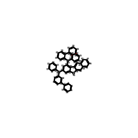 c1ccc(-c2cccc(N(c3ccccc3)c3cc(N(c4ccccc4)c4ccccc4-c4ccccc4)c4c(c3)oc3cc5ccccc5cc34)c2)cc1